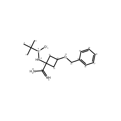 CC(C)(C)[S+]([O-])NC1(C(=N)N)CC(OCc2ccccc2)C1